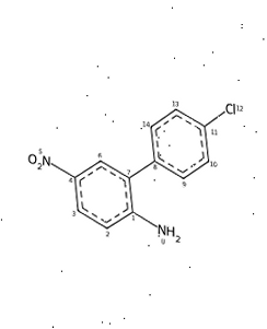 Nc1ccc([N+](=O)[O-])cc1-c1ccc(Cl)cc1